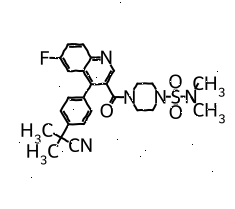 CN(C)S(=O)(=O)N1CCN(C(=O)c2cnc3ccc(F)cc3c2-c2ccc(C(C)(C)C#N)cc2)CC1